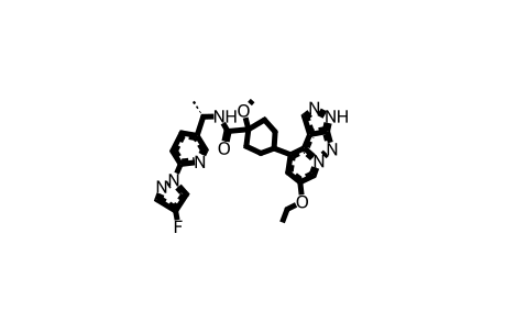 CCOc1cc(C2CCC(OC)(C(=O)N[C@@H](C)c3ccc(-n4cc(F)cn4)nc3)CC2)c2c3cn[nH]c3nn2c1